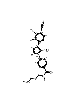 COCCCN(C)C(=O)c1ccc(-n2ncc(-c3ccc(C#N)c(F)c3C)c2O)nc1